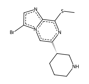 CSc1nc([C@H]2CCCNC2)cn2c(Br)cnc12